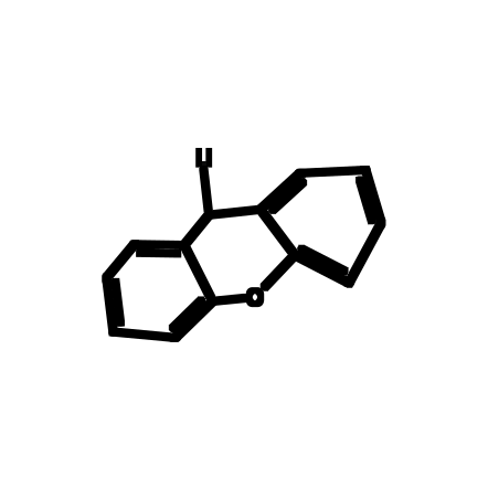 [Li][CH]1c2ccccc2Oc2ccccc21